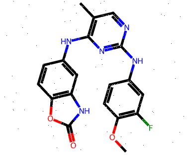 COc1ccc(Nc2ncc(C)c(Nc3ccc4oc(=O)[nH]c4c3)n2)cc1F